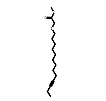 CCC#CCCCCCCCCCSCC(=O)OC